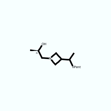 CCCCCC(C)C1CN(C[C@@H](C)O)C1